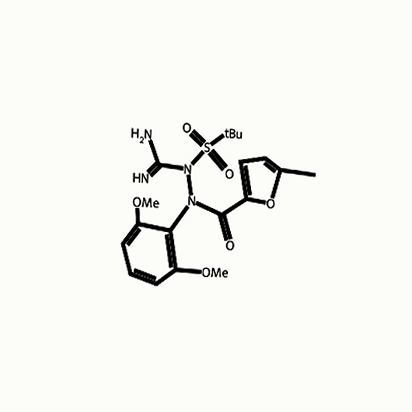 COc1cccc(OC)c1N(C(=O)c1ccc(C)o1)N(C(=N)N)S(=O)(=O)C(C)(C)C